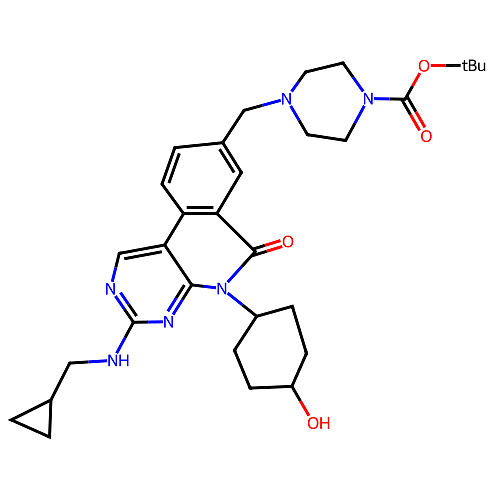 CC(C)(C)OC(=O)N1CCN(Cc2ccc3c(c2)c(=O)n(C2CCC(O)CC2)c2nc(NCC4CC4)ncc32)CC1